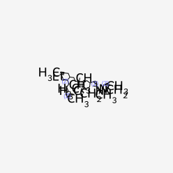 C=CN(/C=C\C)N(C)C/C=C\C1CCC2(C(=C)C)C(C)C(C)(CCC(CC#CC)/C(=C\CC)C(C)CC/C=C\C)C2C1